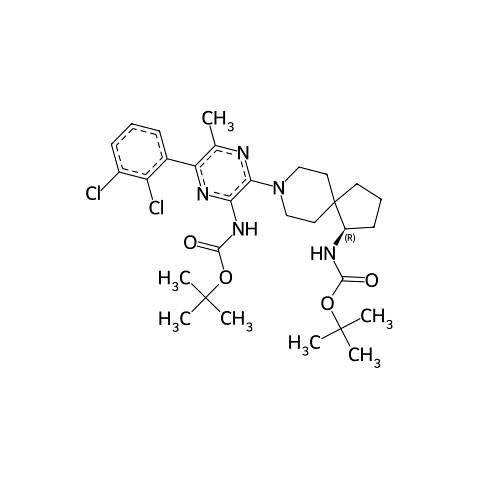 Cc1nc(N2CCC3(CCC[C@H]3NC(=O)OC(C)(C)C)CC2)c(NC(=O)OC(C)(C)C)nc1-c1cccc(Cl)c1Cl